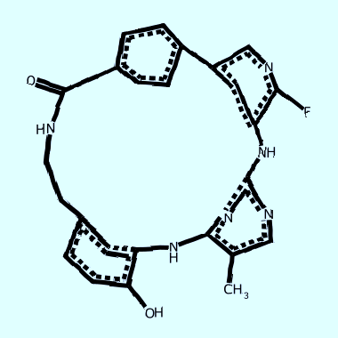 Cc1cnc2nc1Nc1cc(ccc1O)CCNC(=O)c1ccc(cc1)-c1cnc(F)c(c1)N2